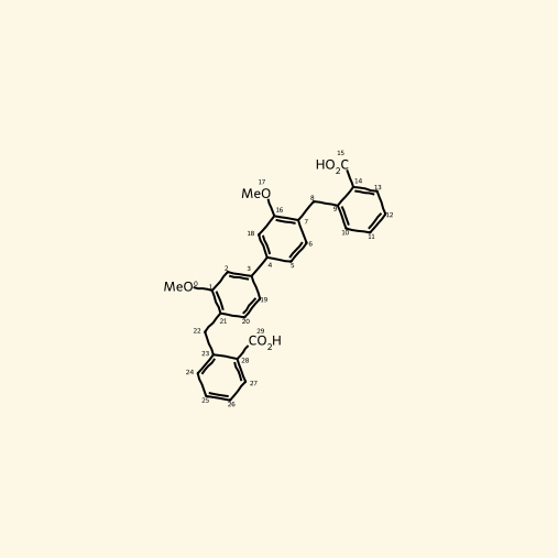 COc1cc(-c2ccc(Cc3ccccc3C(=O)O)c(OC)c2)ccc1Cc1ccccc1C(=O)O